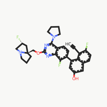 C#Cc1c(F)ccc2cc(O)cc(-c3ccc4c(N5CCCC5)nc(OC[C@@]56CCCN5C[C@H](F)C6)nc4c3F)c12